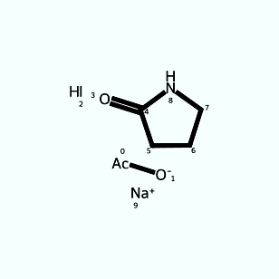 CC(=O)[O-].I.O=C1CCCN1.[Na+]